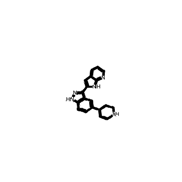 c1cnc2[nH]c(-c3n[nH]c4ccc(C5CCNCC5)cc34)cc2c1